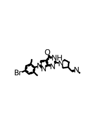 C/N=C/C1CCN(c2nc3nn(-c4c(C)cc(Br)cc4C)cc3c(=O)[nH]2)C1